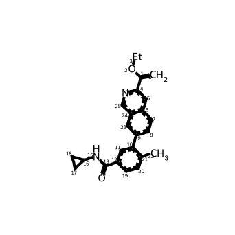 C=C(OCC)c1cc2ccc(-c3cc(C(=O)NC4CC4)ccc3C)cc2cn1